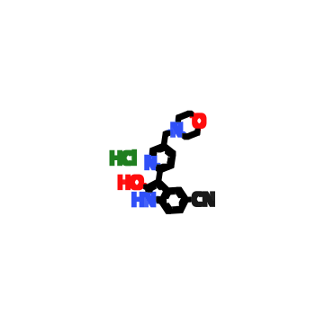 Cl.N#Cc1ccc2[nH]c(O)c(-c3ccc(CN4CCOCC4)cn3)c2c1